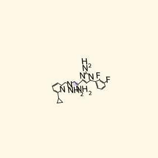 N/C(=C\N(N)Cc1cccc(C2CC2)n1)c1cc(-c2cccc(F)c2F)nc(N)n1